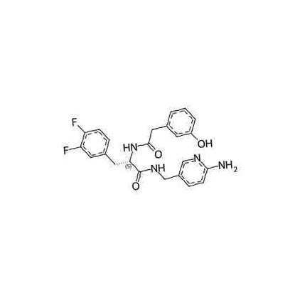 Nc1ccc(CNC(=O)[C@H](Cc2ccc(F)c(F)c2)NC(=O)Cc2cccc(O)c2)cn1